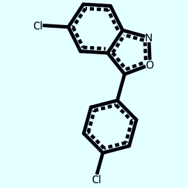 Clc1ccc(-c2onc3ccc(Cl)cc23)cc1